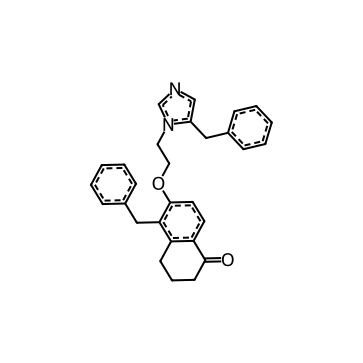 O=C1CCCc2c1ccc(OCCn1cncc1Cc1ccccc1)c2Cc1ccccc1